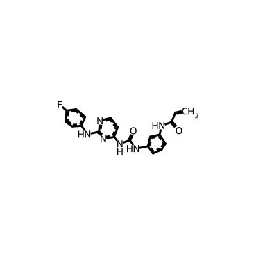 C=CC(=O)Nc1cccc(NC(=O)Nc2ccnc(Nc3ccc(F)cc3)n2)c1